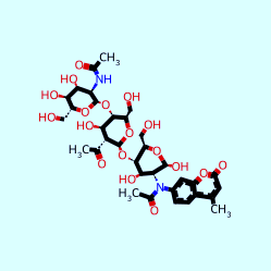 CC(=O)N[C@H]1[C@H](O[C@H]2[C@H](O)[C@@H](C(C)=O)[C@H](O[C@H]3[C@H](O)[C@@H](N(C(C)=O)c4ccc5c(C)cc(=O)oc5c4)[C@H](O)O[C@@H]3CO)O[C@@H]2CO)O[C@H](CO)[C@@H](O)[C@@H]1O